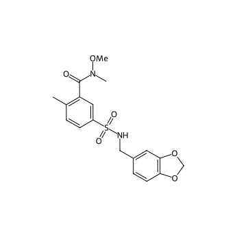 CON(C)C(=O)c1cc(S(=O)(=O)NCc2ccc3c(c2)OCO3)ccc1C